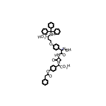 O=C(Cc1ccccc1)Oc1ccc(C(C(=O)O)N2CC(NC(=O)/C(=N\O)c3ccc(OCCC(NC(c4ccccc4)(c4ccccc4)c4ccccc4)C(=O)O)cc3)C2=O)cc1